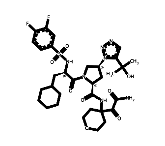 CC(C)(O)c1cnnn1[C@H]1C[C@@H](C(=O)NC2(C(=O)C(N)=O)CCOCC2)N(C(=O)[C@@H](CC2CCCCC2)NS(=O)(=O)c2ccc(F)c(F)c2)C1